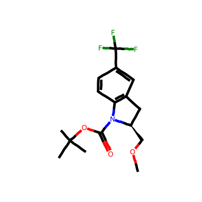 COC[C@@H]1Cc2cc(C(F)(F)F)ccc2N1C(=O)OC(C)(C)C